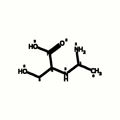 CC(N)NC(CO)C(=O)O